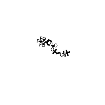 CC(C)(CCO[Si](C)(C)C(C)(C)C)OC(=O)N1CC=C(S(=O)(=O)C(F)(F)F)C1